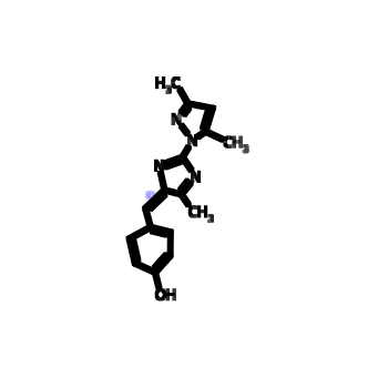 CC1=NC(n2nc(C)cc2C)=N/C1=C/c1ccc(O)cc1